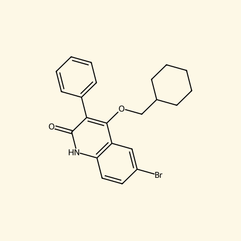 O=c1[nH]c2ccc(Br)cc2c(OCC2CCCCC2)c1-c1ccccc1